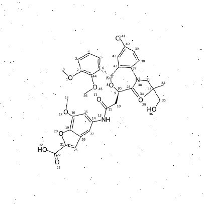 COc1cccc([C@H]2O[C@H](CC(=O)Nc3cc(OC)c4oc(C(=O)O)cc4c3)C(=O)N(CC(C)(C)CO)c3ccc(Cl)cc32)c1OC